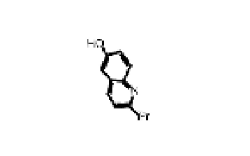 CC(C)c1ccc2cc(O)ccc2n1